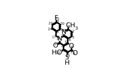 Cc1ccc2c3oc(=O)c(S)c(O)c3c(=O)n(Cc3ccc(F)cc3)c2n1